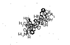 CC(C)C[C@H](NC(=O)CN)C(=O)N[C@@H](Cc1c[nH]cn1)C(=O)N[C@@H](Cc1ccc(O)cc1)C(=O)N[C@@H](CC(=O)O)C(=O)N1CCC[C@H]1C(=O)N[C@@H](Cc1ccccc1)C(=O)N[C@H](C(=O)N[C@@H](C)C(=O)O)C(C)C